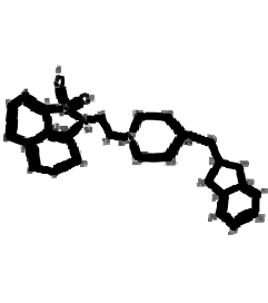 O=S1(=O)c2cccc3cccc(c23)N1CCN1CCC(CC2Cc3ccccc3C2)CC1